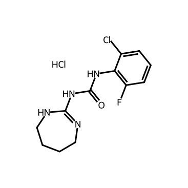 Cl.O=C(NC1=NCCCCN1)Nc1c(F)cccc1Cl